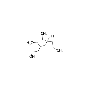 CCCC(O)(CC)CC(CC)CCO